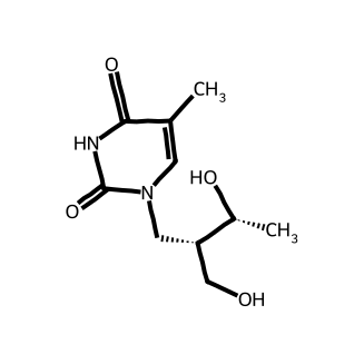 Cc1cn(C[C@@H](CO)[C@@H](C)O)c(=O)[nH]c1=O